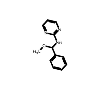 COC(Nc1ncccn1)c1ccccc1